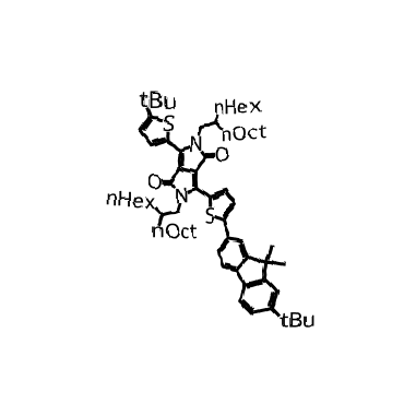 CCCCCCCCC(CCCCCC)CN1C(=O)C2=C(c3ccc(C(C)(C)C)s3)N(CC(CCCCCC)CCCCCCCC)C(=O)C2=C1c1ccc(-c2ccc3c(c2)C(C)(C)c2cc(C(C)(C)C)ccc2-3)s1